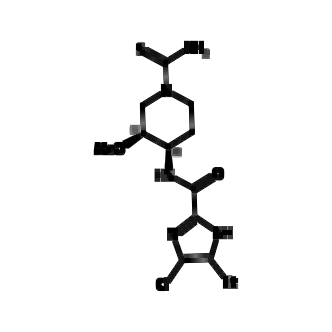 CCc1[nH]c(C(=O)N[C@@H]2CCN(C(N)=S)C[C@@H]2OC)nc1Cl